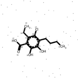 CCCCc1c(O)c(O)c(C(=O)O)c(CC)c1Cl